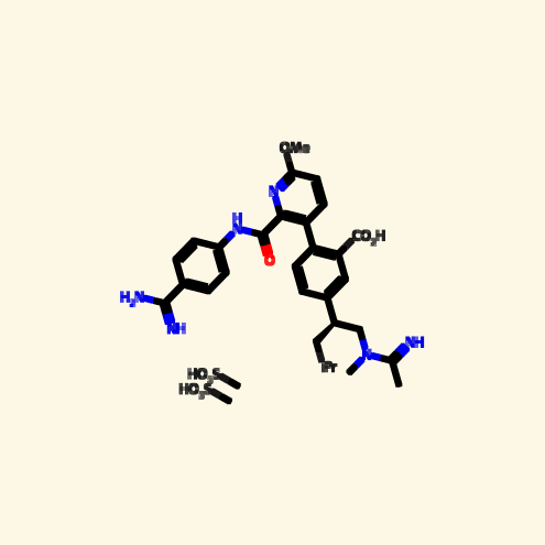 COc1ccc(-c2ccc([C@H](CC(C)C)CN(C)C(C)=N)cc2C(=O)O)c(C(=O)Nc2ccc(C(=N)N)cc2)n1.CS(=O)(=O)O.CS(=O)(=O)O